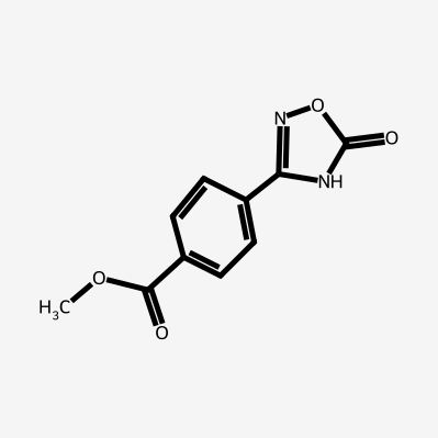 COC(=O)c1ccc(-c2noc(=O)[nH]2)cc1